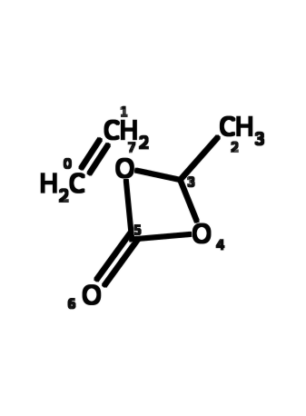 C=C.CC1OC(=O)O1